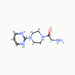 NCC(=O)N1CCN(c2ncccn2)CC1